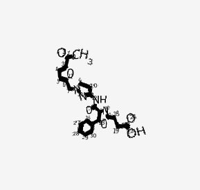 CC(=O)c1ccc(Cn2ccc(NC(=O)c3nc(CCC(=O)O)oc3-c3ccccc3)n2)o1